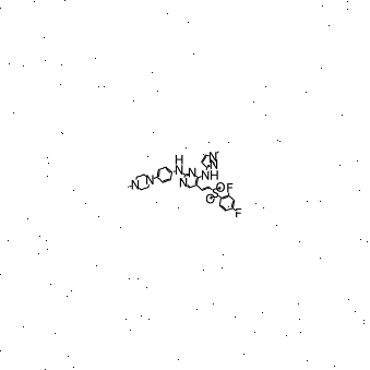 CN1CCN(c2ccc(Nc3ncc(/C=C/S(=O)(=O)c4ccc(F)cc4F)c(Nc4ccn(C)n4)n3)cc2)CC1